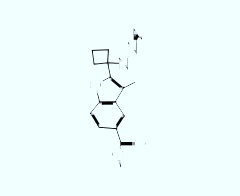 COC(=O)c1ccc2oc(C3(N=[N+]=[N-])CCC3)c(C)c2c1